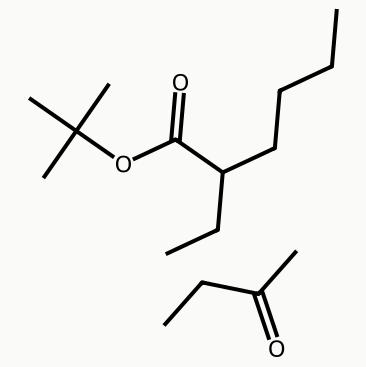 CCC(C)=O.CCCCC(CC)C(=O)OC(C)(C)C